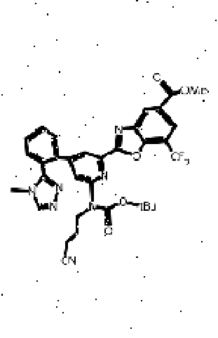 COC(=O)c1cc(C(F)(F)F)c2oc(-c3cc(-c4ccccc4-c4nncn4C)cc(N(CCCC#N)C(=O)OC(C)(C)C)n3)nc2c1